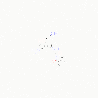 Nc1ccc(C(O)(c2ccc(N)cc2)c2ccc(NCCCN3C(=O)c4cccc5cccc(c45)C3=O)cc2)cc1